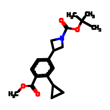 COC(=O)c1ccc(C2CN(C(=O)OC(C)(C)C)C2)cc1C1CC1